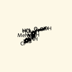 CNCCn1c(Nc2nc3ccc(Cl)cc3s2)nc2cc(C(=O)NCCOCCO)ccc21.Cl.Cl